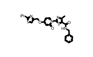 Cc1nc(-n2ccc(OCc3csc(C(C)C)n3)cc2=O)sc1C(=O)NCc1ccccc1